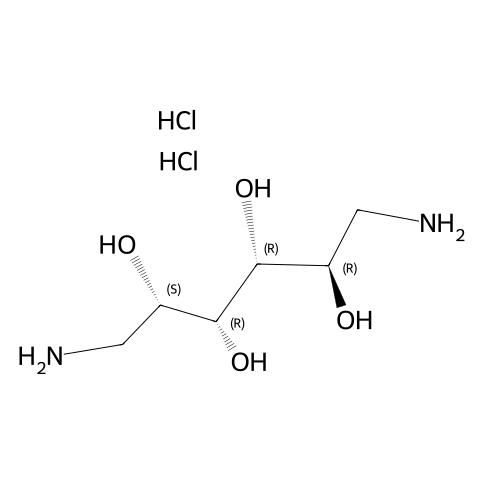 Cl.Cl.NC[C@@H](O)[C@@H](O)[C@H](O)[C@@H](O)CN